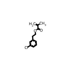 C=C(C)C(=O)OCCc1cccc(Cl)c1